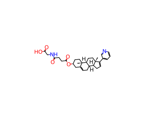 C[C@]12CC[C@H](OC(=O)CCC(=O)NCC(=O)O)CC1=CC[C@@H]1[C@@H]2CC[C@]2(C)C(c3cccnc3)=CC[C@@H]12